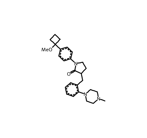 COC1(c2ccc(N3CCC(Cc4ccccc4N4CCN(C)CC4)C3=O)cc2)CCC1